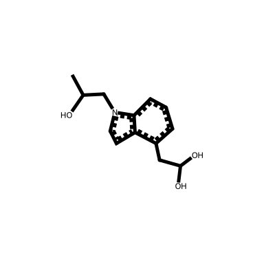 CC(O)Cn1ccc2c(CC(O)O)cccc21